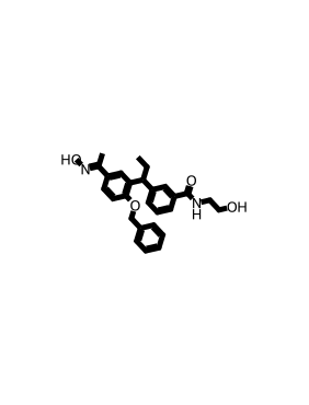 CCC(c1cccc(C(=O)NCCO)c1)c1cc(/C(C)=N/O)ccc1OCc1ccccc1